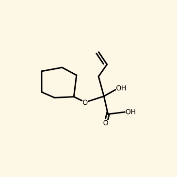 C=CCC(O)(OC1CCCCC1)C(=O)O